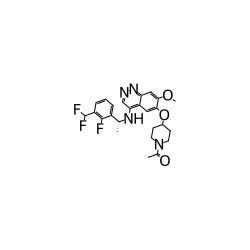 COc1cc2nncc(N[C@H](C)c3cccc(C(F)F)c3F)c2cc1OC1CCN(C(C)=O)CC1